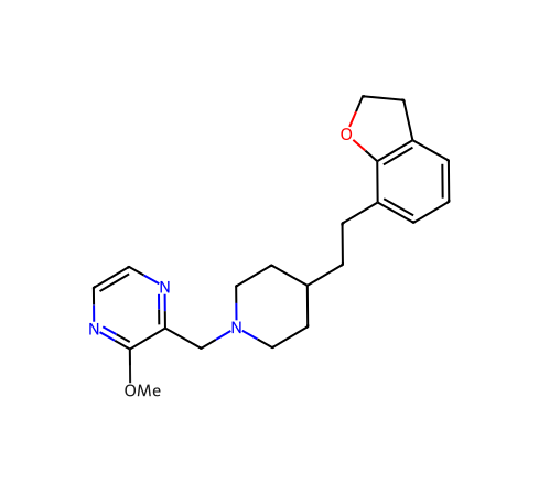 COc1nccnc1CN1CCC(CCc2cccc3c2OCC3)CC1